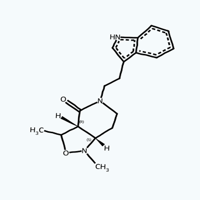 CC1ON(C)[C@H]2CCN(CCc3c[nH]c4ccccc34)C(=O)[C@@H]12